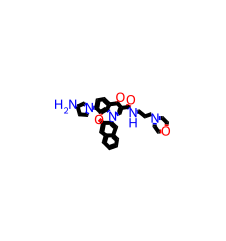 NC1CCN(c2ccc3c(=O)c(C(=O)NCCCN4CCOCC4)cn4c3c2Oc2cc3ccccc3cc2-4)C1